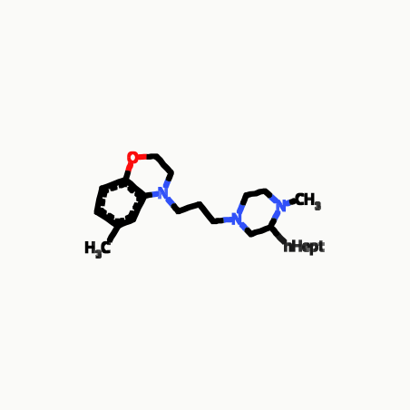 CCCCCCCC1CN(CCCN2CCOc3ccc(C)cc32)CCN1C